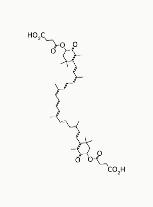 CC(C=CC=C(C)C=CC1=C(C)C(=O)C(OC(=O)CCC(=O)O)CC1(C)C)=CC=CC=C(C)C=CC=C(C)C=CC1=C(C)C(=O)C(OC(=O)CCC(=O)O)CC1(C)C